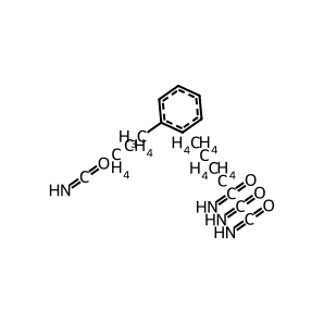 C.C.C.C.C.C.Cc1ccccc1.N=C=O.N=C=O.N=C=O.N=C=O